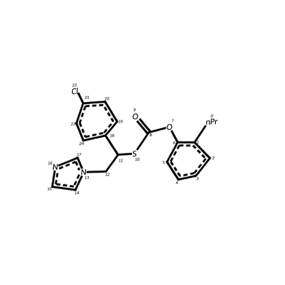 CCCc1ccccc1OC(=O)SC(Cn1ccnc1)c1ccc(Cl)cc1